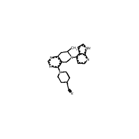 CC1Cc2ncnc(N3CCC(C#N)CC3)c2CN1c1ccnc2[nH]ccc12